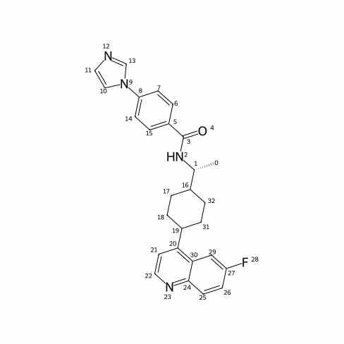 C[C@@H](NC(=O)c1ccc(-n2ccnc2)cc1)C1CCC(c2ccnc3ccc(F)cc23)CC1